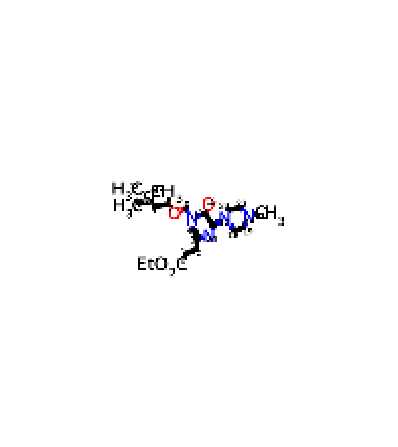 CCOC(=O)CCc1cn(COCC[Si](C)(C)C)c(=O)c(N2CCN(C)CC2)n1